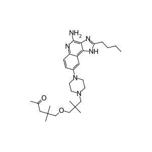 CCCCc1nc2c(N)nc3ccc(N4CCN(CC(C)(C)COCC(C)(C)CC(C)=O)CC4)cc3c2[nH]1